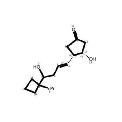 CCCC1(C(O)C/C=C/[C@@H]2CC(=O)C[C@@H]2O)CCC1